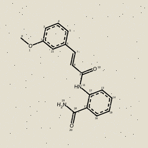 COc1cccc(/C=C/C(=O)Nc2ccccc2C(N)=O)c1